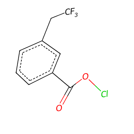 O=C(OCl)c1cccc(CC(F)(F)F)c1